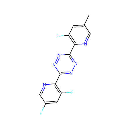 Cc1cnc(-c2nnc(-c3ncc(F)cc3F)nn2)c(F)c1